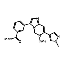 CNC(=O)c1cccc(-c2cnc3n2CN(OC)C(c2cnn(C)c2)=C3)c1